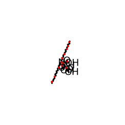 CCCCCCCCCCCCCCCCN(CCCCCCCCCCCCCCCC)[C@@H](CCC(=O)O)C(=O)N[C@@H](CCC(=O)O)C(=O)O